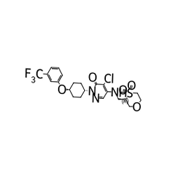 O=c1c(Cl)c(NC[C@@H]2COCCS2(=O)=O)cnn1[C@H]1CC[C@H](Oc2cccc(C(F)(F)F)c2)CC1